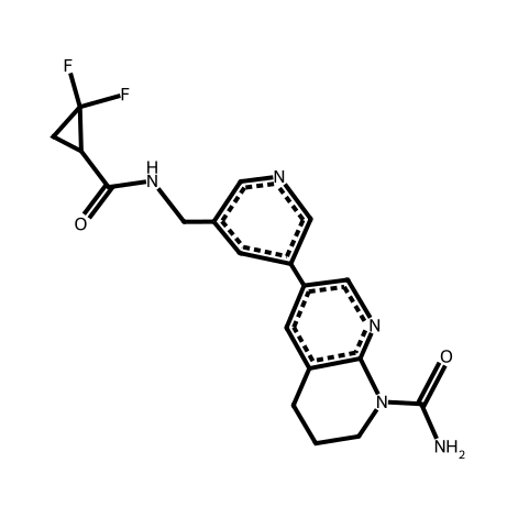 NC(=O)N1CCCc2cc(-c3cncc(CNC(=O)C4CC4(F)F)c3)cnc21